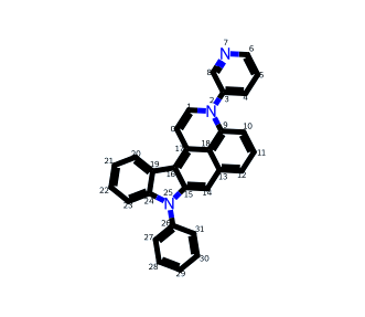 C1=CN(c2cccnc2)c2cccc3cc4c(c1c23)c1ccccc1n4-c1ccccc1